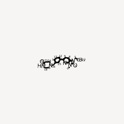 Cn1c(=O)n(CC(C)(C)C)c2ccc(-c3cccc(CN4CCNC(=O)CC4)c3)nc21